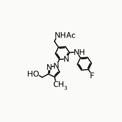 CC(=O)NCc1cc(Nc2ccc(F)cc2)nc(-n2cc(C)c(CO)n2)c1